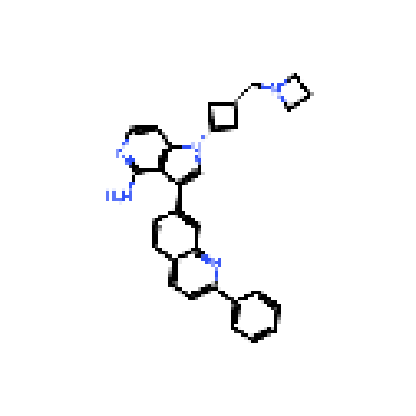 Nc1nccc2c1c(-c1ccc3ccc(-c4ccccc4)nc3c1)cn2[C@H]1C[C@@H](CN2CCC2)C1